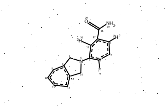 [2H]c1cc(F)c(N2Cc3ccccc3C2)c([2H])c1C(N)=O